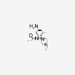 CCC(=O)Nc1cc(N)cc(C)c1N1CCN(CC)CC1